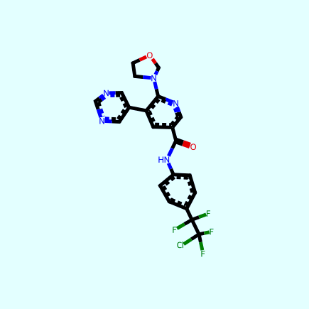 O=C(Nc1ccc(C(F)(F)C(F)(F)Cl)cc1)c1cnc(N2CCOC2)c(-c2cncnc2)c1